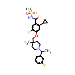 C[C@@H](c1cccc(F)c1)N1CCC(C)(COc2cc(C3CC3)c(C(=O)NS(C)(=O)=O)cc2F)CC1